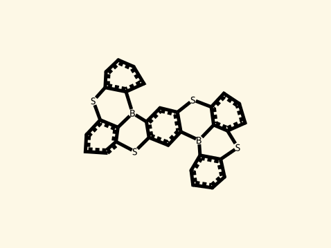 c1ccc2c(c1)Sc1cccc3c1B2c1cc2c(cc1S3)B1c3ccccc3Sc3cccc(c31)S2